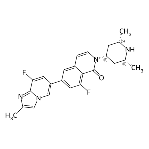 Cc1cn2cc(-c3cc(F)c4c(=O)n([C@H]5C[C@@H](C)N[C@@H](C)C5)ccc4c3)cc(F)c2n1